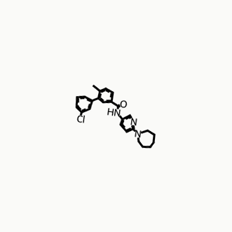 Cc1ccc(C(=O)Nc2ccc(N3CCCCCC3)nc2)cc1-c1cccc(Cl)c1